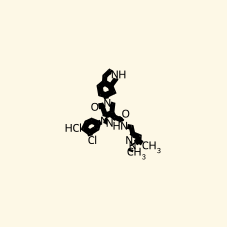 Cc1cc(CNC(=O)c2nn(-c3cccc(Cl)c3)c3c2CN(c2ccc4c(c2)CNCC4)C3=O)nn1C.Cl